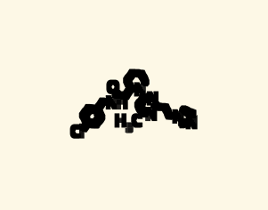 Cc1cc(N2CCCCC2CC(=O)NCc2ccc(Cl)cc2)nc(CCn2ccnc2)n1